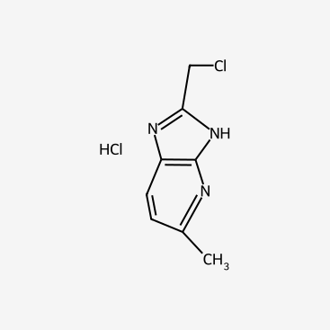 Cc1ccc2nc(CCl)[nH]c2n1.Cl